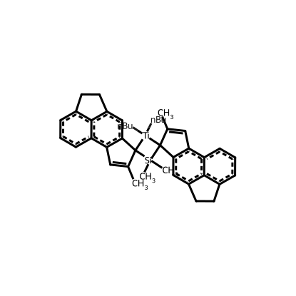 CCC[CH2][Ti]1([CH2]CCC)[C]2(C(C)=Cc3c2cc2c4c(cccc34)CC2)[Si](C)(C)[C]12C(C)=Cc1c2cc2c3c(cccc13)CC2